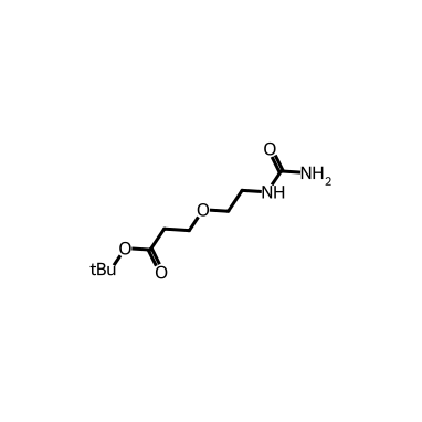 CC(C)(C)OC(=O)CCOCCNC(N)=O